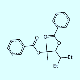 CCC(CC)C(OC(=O)c1ccccc1)C(C)(C)OC(=O)c1ccccc1